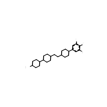 Fc1cc(C2CCC(CCC3CCC(C4CC[CH]([RaH])CC4)CC3)CC2)cc(F)c1F